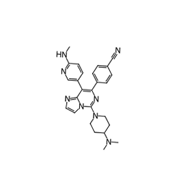 CNc1ccc(-c2c(-c3ccc(C#N)cc3)nc(N3CCC(N(C)C)CC3)n3ccnc23)cn1